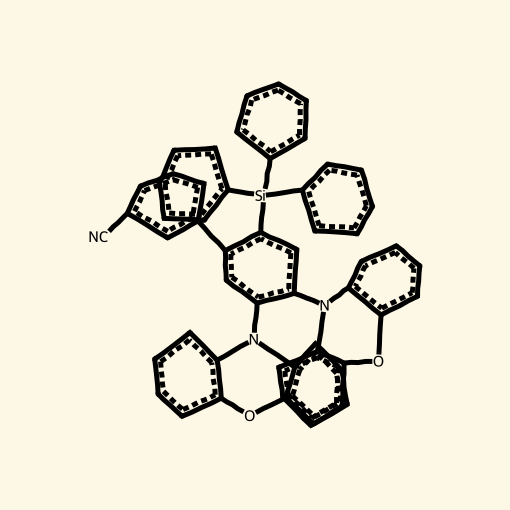 N#Cc1cccc(-c2cc(N3c4ccccc4Oc4ccccc43)c(N3c4ccccc4Oc4ccccc43)cc2[Si](c2ccccc2)(c2ccccc2)c2ccccc2)c1